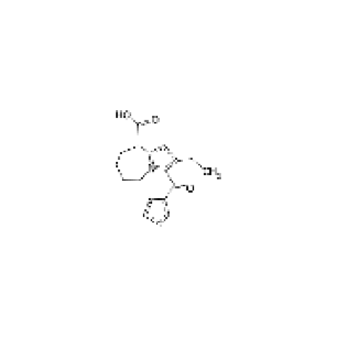 CCc1cc2n(c1C(=O)c1cccs1)CCCCC2C(=O)O